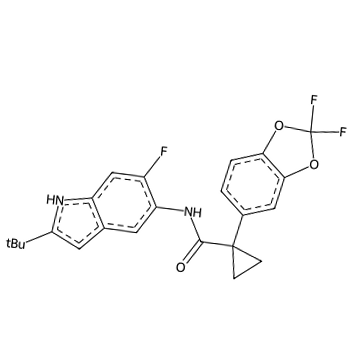 CC(C)(C)c1cc2cc(NC(=O)C3(c4ccc5c(c4)OC(F)(F)O5)CC3)c(F)cc2[nH]1